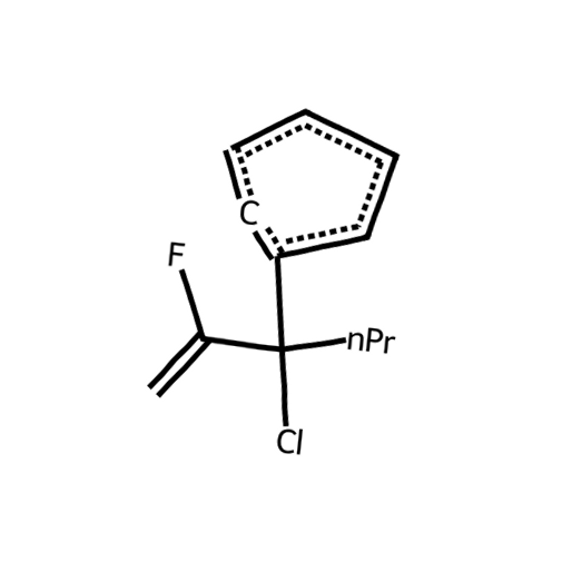 C=C(F)C(Cl)(CCC)c1ccccc1